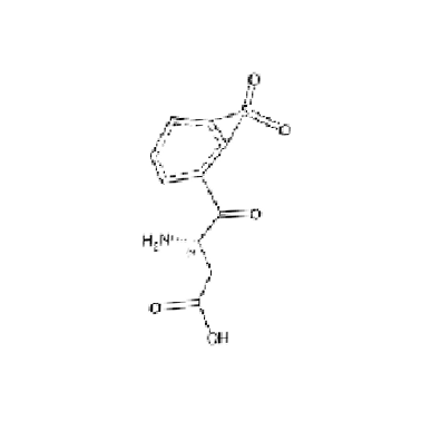 N[C@@H](CC(=O)O)C(=O)c1cccc2c1S2(=O)=O